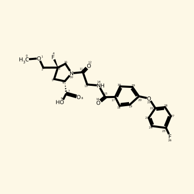 COC[C@@]1(F)C[C@@H](C(=O)O)N(C(=O)CNC(=O)c2ccc(Oc3ccc(F)cc3)cc2)C1